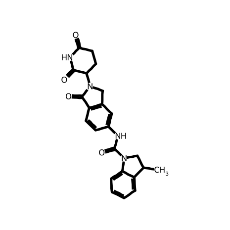 CC1CN(C(=O)Nc2ccc3c(c2)CN(C2CCC(=O)NC2=O)C3=O)c2ccccc21